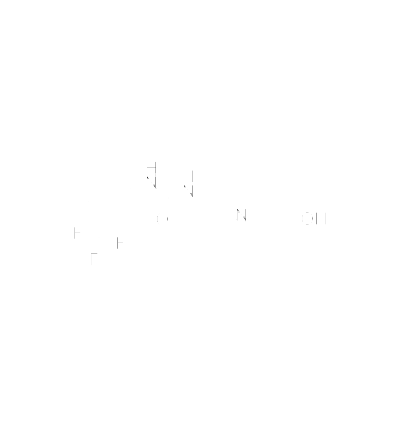 C[N+]1(CCNC(=O)Nc2cccc(C(F)(F)F)c2)CCC(O)CC1